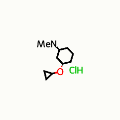 CN[C@H]1CCC[C@H](OC2CC2)C1.Cl